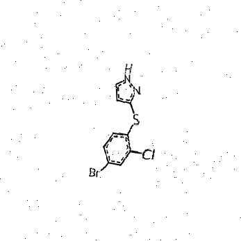 Clc1cc(Br)ccc1Sc1cc[nH]n1